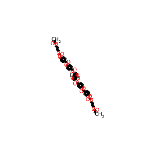 C=CC(=O)OCCCCOC(=O)Oc1ccc(C(=O)Oc2ccc(C(=O)O[C@H]3CO[C@@H]4[C@H]3OC[C@@H]4OC(=O)c3ccc(OC(=O)c4ccc(OC(=O)OCCCCOC(=O)C=C)cc4)cc3)cc2)cc1